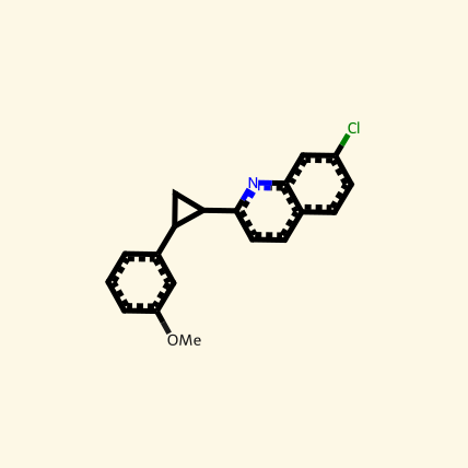 COc1cccc(C2CC2c2ccc3ccc(Cl)cc3n2)c1